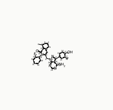 Cc1cccc2cc(Cn3nc(-c4ccc(O)c(F)c4)c4c(N)ncnc43)n(-c3ccccc3F)c(=O)c12